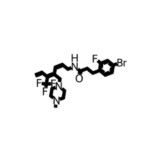 C=C/C(=C(\C=C/CNC(=O)CCc1ccc(Br)cc1F)CN1CCN(C)CC1)C(F)(F)F